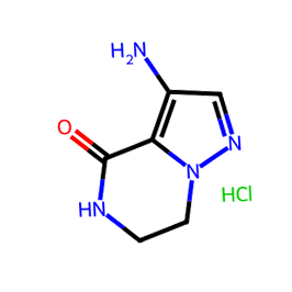 Cl.Nc1cnn2c1C(=O)NCC2